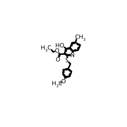 CCOC(=O)c1c(SCc2ccc(OC)cc2)nc2ccc(C)cc2c1O